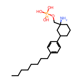 CCCCCCCCc1ccc(C2CCCC(N)(CO[PH](O)(O)O)C2)cc1